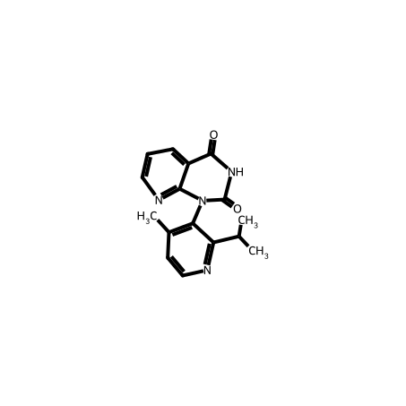 Cc1ccnc(C(C)C)c1-n1c(=O)[nH]c(=O)c2cccnc21